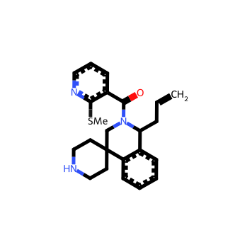 C=CCC1c2ccccc2C2(CCNCC2)CN1C(=O)c1cccnc1SC